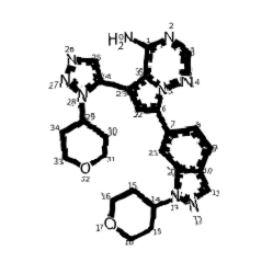 Nc1ncnn2c(-c3ccc4cnn(C5CCOCC5)c4c3)cc(-c3cnnn3C3CCOCC3)c12